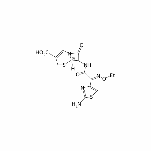 CCON=C(C(=O)NC1C(=O)N2C=C(C(=O)O)CS[C@H]12)c1csc(N)n1